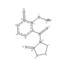 CCCCOn1c(C(=O)N2CCSC2=S)cccc1=O